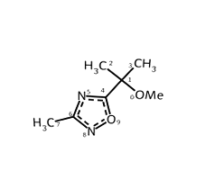 COC(C)(C)c1nc(C)no1